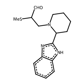 CSC(C=O)CN1CCCCC1c1nc2ccccc2[nH]1